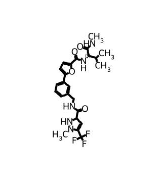 CNC(=O)[C@@H](NC(=O)c1ccc(-c2cccc(CNC(=O)C3C=C(C(F)(F)F)N(C)N3)c2)o1)C(C)C